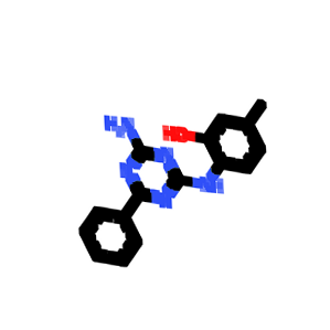 Cc1ccc(Nc2nc(N)nc(-c3ccccc3)n2)c(O)c1